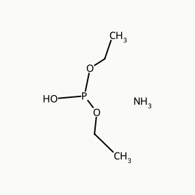 CCOP(O)OCC.N